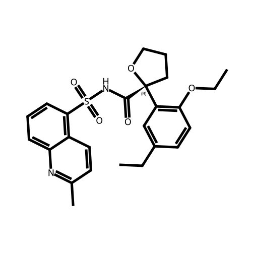 CCOc1ccc(CC)cc1[C@@]1(C(=O)NS(=O)(=O)c2cccc3nc(C)ccc23)CCCO1